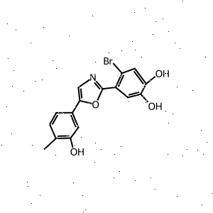 Cc1ccc(-c2cnc(-c3cc(O)c(O)cc3Br)o2)cc1O